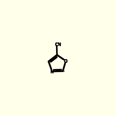 N#Cc1cn[c]o1